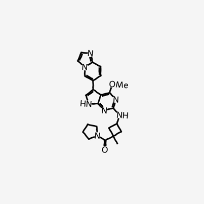 COc1nc(NC2CC(C)(C(=O)N3CCCC3)C2)nc2[nH]cc(-c3ccc4nccn4c3)c12